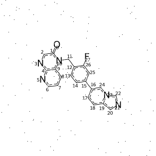 O=c1cnc2ncccc2n1Cc1ccc(-c2ccc3cncn3c2)cc1F